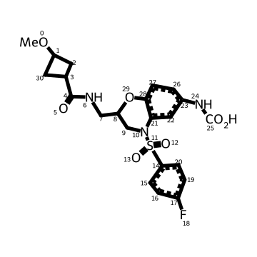 COC1CC(C(=O)NCC2CN(S(=O)(=O)c3ccc(F)cc3)c3cc(NC(=O)O)ccc3O2)C1